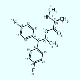 CN[C@@H](C)C(=O)O[C@@H](C)C(c1ccc(F)cc1)c1ccc(F)cc1